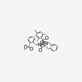 COC(=O)c1ccccc1CNC(=O)C1Cc2ccccc2CN1S(=O)(=O)c1c(C)cc(C)cc1C